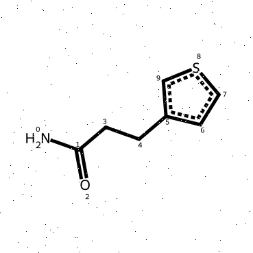 NC(=O)CCc1ccsc1